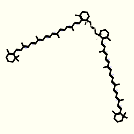 CC1=C(/C=C/C(C)=C/C=C/C(C)=C/C=C/C=C(C)/C=C/C=C(C)/C=C/C2=C(C)CCC[C@]2(C)CN=NC[C@@]2(C)CCCC(C)=C2/C=C/C(C)=C/C=C/C(C)=C/C=C/C=C(C)/C=C/C=C(C)/C=C/C2=C(C)CCCC2(C)C)C(C)(C)CCC1